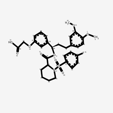 COc1ccc(CC[C@@H](OC(=O)C2CCCCN2S(=O)(=O)c2ccc(F)cc2)c2cccc(OCC(=O)O)c2)cc1OC